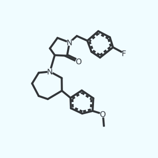 COc1ccc(C2CCCCN(C3CCN(Cc4ccc(F)cc4)C3=O)C2)cc1